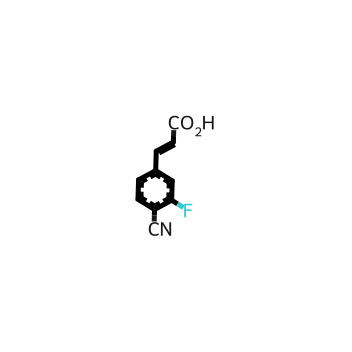 N#Cc1ccc(/C=C/C(=O)O)cc1F